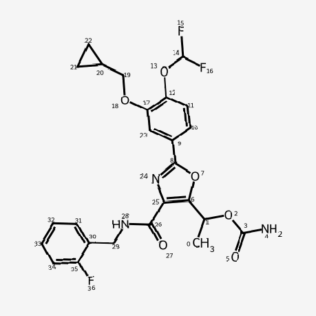 CC(OC(N)=O)c1oc(-c2ccc(OC(F)F)c(OCC3CC3)c2)nc1C(=O)NCc1ccccc1F